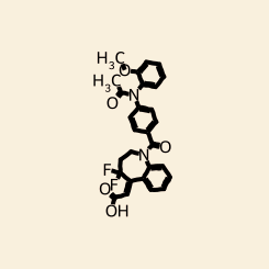 COc1ccccc1N(C(C)=O)c1ccc(C(=O)N2CCC(F)(F)C(=CC(=O)O)c3ccccc32)cc1